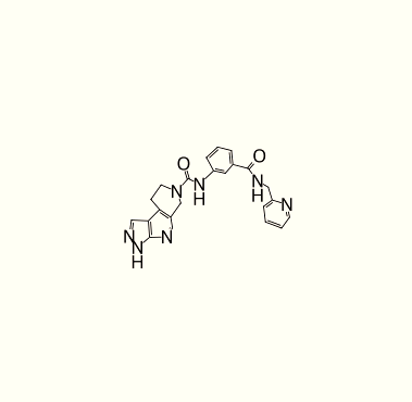 O=C(NCc1ccccn1)c1cccc(NC(=O)N2CCc3c(cnc4[nH]ncc34)C2)c1